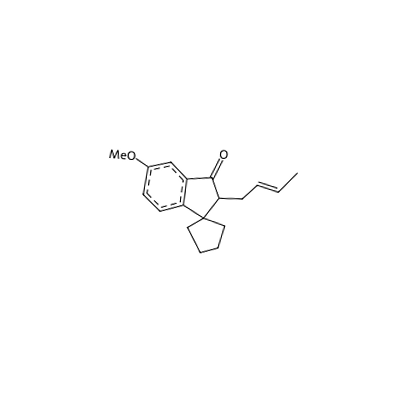 C/C=C/CC1C(=O)c2cc(OC)ccc2C12CCCC2